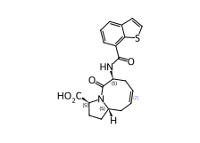 O=C(N[C@H]1C/C=C\C[C@@H]2CC[C@@H](C(=O)O)N2C1=O)c1cccc2ccsc12